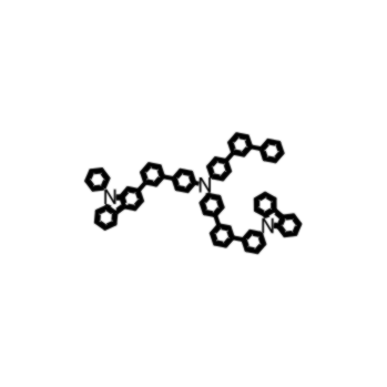 c1ccc(-c2cccc(-c3ccc(N(c4ccc(-c5cccc(-c6cccc(-n7c8ccccc8c8ccccc87)c6)c5)cc4)c4ccc(-c5cccc(-c6ccc7c8ccccc8n(-c8ccccc8)c7c6)c5)cc4)cc3)c2)cc1